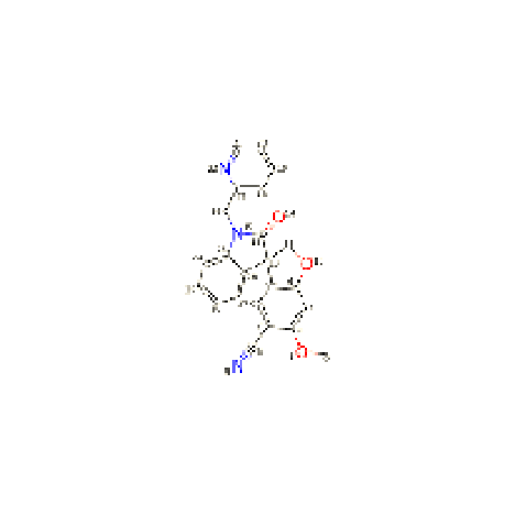 COc1cc2c(cc1C#N)C1(CO2)C(=O)N(Cc2ccccn2)c2ccccc21